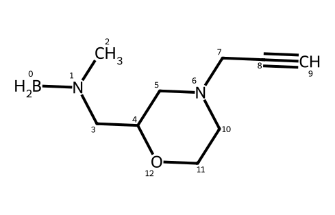 BN(C)CC1CN(CC#C)CCO1